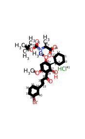 COc1cc(OC)c([C@@H]2CCCC[C@H]2OC(=O)[C@H](C)NC(=O)OC(C)(C)C)c(O)c1C(=O)C=Cc1cccc(Br)c1.Cl